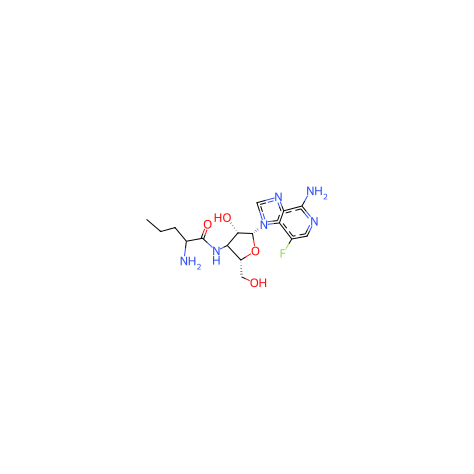 CCCC(N)C(=O)NC1[C@@H](CO)O[C@@H](n2cnc3c(N)ncc(F)c32)[C@H]1O